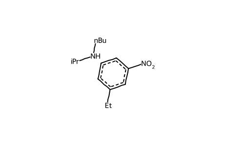 CCCCNC(C)C.CCc1cccc([N+](=O)[O-])c1